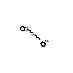 O=C(O)c1ccccc1SCCCCNCCCc1nc2ccccc2s1